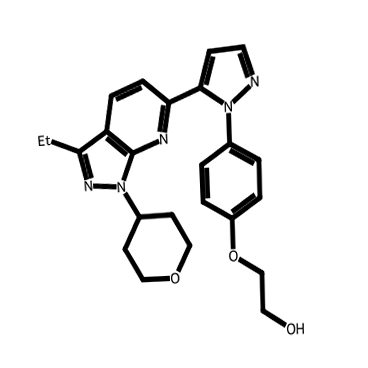 CCc1nn(C2CCOCC2)c2nc(-c3ccnn3-c3ccc(OCCO)cc3)ccc12